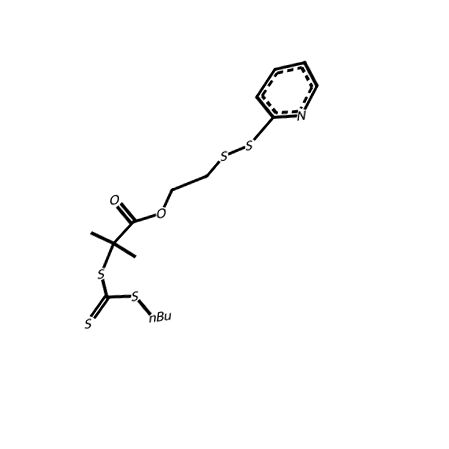 CCCCSC(=S)SC(C)(C)C(=O)OCCSSc1ccccn1